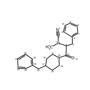 CN(C#N)C(Cc1ccccc1)C(=O)N1CCC(Cc2ccccc2)CC1